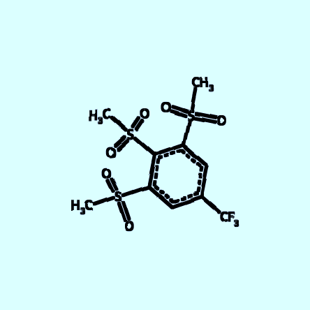 CS(=O)(=O)c1cc(C(F)(F)F)cc(S(C)(=O)=O)c1S(C)(=O)=O